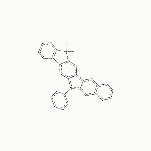 CC1(C)c2ccccc2-c2cc3c(cc21)c1cc2ccccc2cc1n3-c1ccccc1